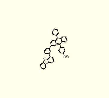 CCCc1ccc(-c2c3ccccc3c(-c3ccccc3)c3ccc(-c4cccc(-c5cccc6c5sc5ccccc56)c4)cc23)cc1